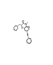 CN1C(=O)C(Cc2ccccc2)Sc2cc(C#Cc3ccccc3)cnc21